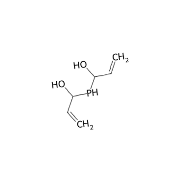 C=CC(O)PC(O)C=C